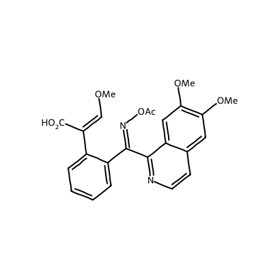 COC=C(C(=O)O)c1ccccc1C(=NOC(C)=O)c1nccc2cc(OC)c(OC)cc12